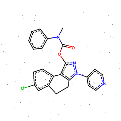 CN(C(=O)Oc1nn(-c2ccncc2)c2c1-c1ccc(Cl)cc1CC2)c1ccccc1